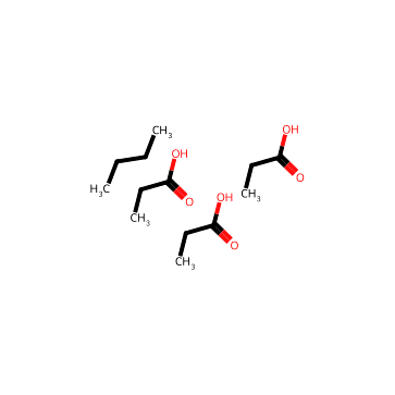 CCC(=O)O.CCC(=O)O.CCC(=O)O.CCCC